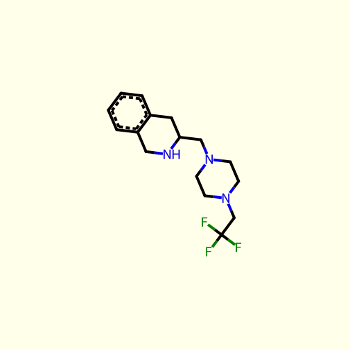 FC(F)(F)CN1CCN(CC2Cc3ccccc3CN2)CC1